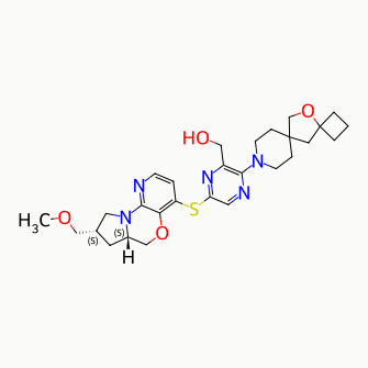 COC[C@H]1C[C@H]2COc3c(Sc4cnc(N5CCC6(CC5)COC5(CCC5)C6)c(CO)n4)ccnc3N2C1